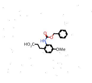 COc1ccc(CCC(=O)O)c(NC(=O)OCc2ccccc2)c1